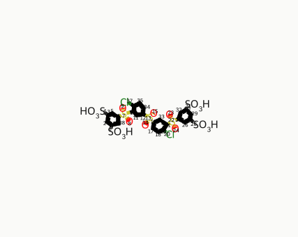 O=S(=O)(O)c1cc(S(=O)(=O)O)cc(S(=O)(=O)c2cc(S(=O)(=O)c3ccc(Cl)c(S(=O)(=O)c4cc(S(=O)(=O)O)cc(S(=O)(=O)O)c4)c3)ccc2Cl)c1